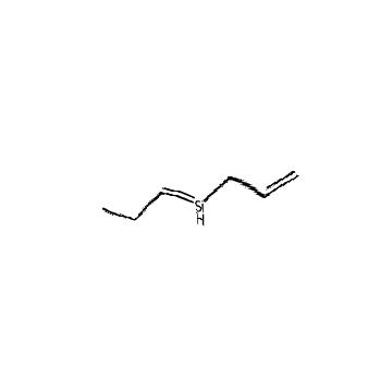 C=CC[SiH]=CCC